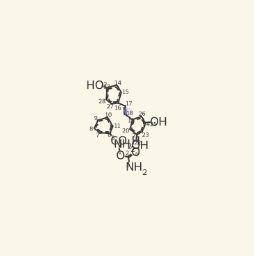 NOC(N)=O.O=C(O)c1ccccc1.Oc1ccc(/C=C/c2cc(O)cc(O)c2)cc1